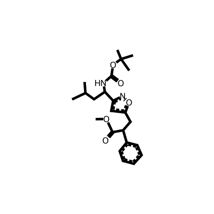 COC(=O)C(Cc1cc(C(CC(C)C)NC(=O)OC(C)(C)C)no1)c1ccccc1